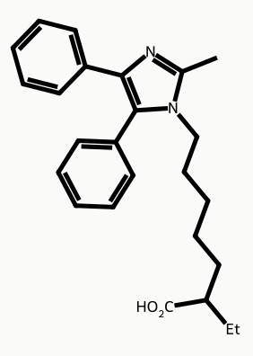 CCC(CCCCCn1c(C)nc(-c2ccccc2)c1-c1ccccc1)C(=O)O